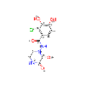 O=C1NCCN(NC(=O)c2ccc(O)c(O)c2Cl)C1=O